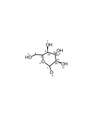 [O]C1OC(CO)[C@@H](O)[C@@H](O)[C@H]1O